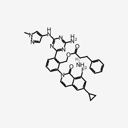 Cn1cc(Nc2nc(N)nc(-c3cccc(-n4ccc5cc(C6CC6)cc(F)c5c4=O)c3COC(=O)[C@@H](N)Cc3ccccc3)n2)cn1